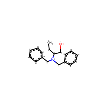 CCC(CO)N(Cc1ccccc1)Cc1ccccc1